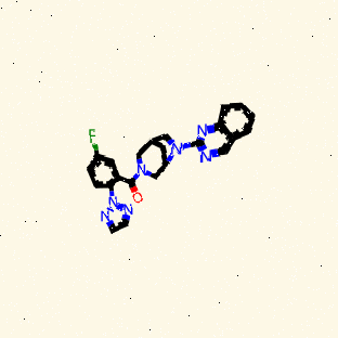 O=C(c1cc(F)ccc1-n1nccn1)N1CC2CC(C1)N(c1ncc3ccccc3n1)C2